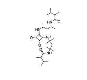 CC(CC(C)Nc1c(NC(C)(C)CC(C)(C)NC(=O)C(C)C(C)C)c(=O)c1=O)NC(=O)C(C)C(C)C